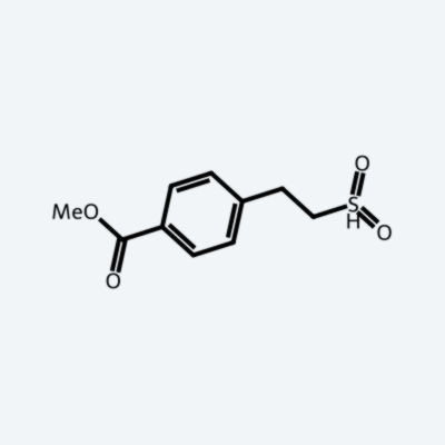 COC(=O)c1ccc(CC[SH](=O)=O)cc1